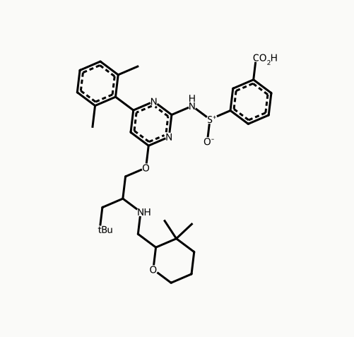 Cc1cccc(C)c1-c1cc(OCC(CC(C)(C)C)NCC2OCCCC2(C)C)nc(N[S+]([O-])c2cccc(C(=O)O)c2)n1